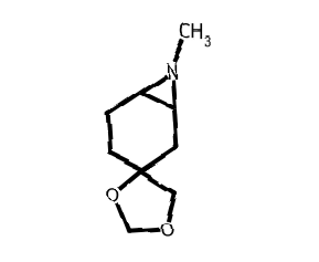 CN1C2CCC3(COCO3)CC21